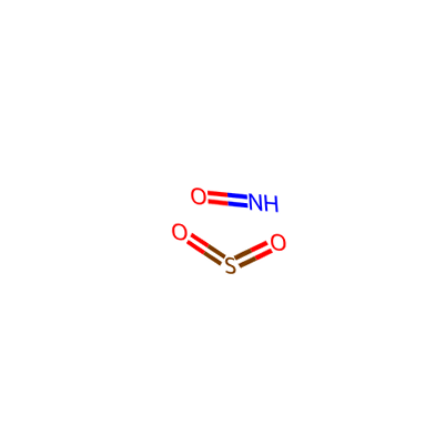 N=O.O=S=O